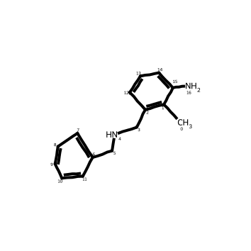 Cc1c(CNCc2ccccc2)[c]ccc1N